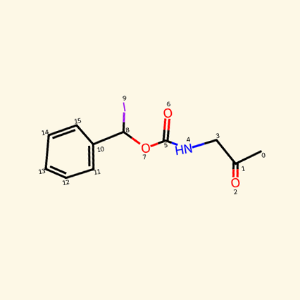 CC(=O)CNC(=O)OC(I)c1ccccc1